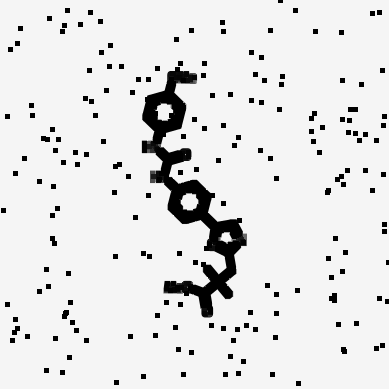 COC(=O)C(C)(C)Cc1ncc(-c2ccc(NC(=O)Nc3ccc(OC)cc3)cc2)o1